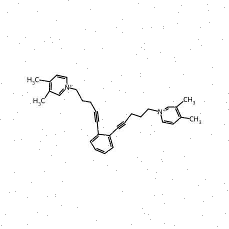 Cc1cc[n+](CCCC#Cc2ccccc2C#CCCC[n+]2ccc(C)c(C)c2)cc1C